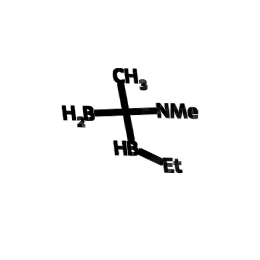 BC(C)(BCC)NC